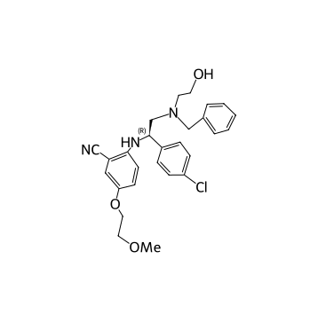 COCCOc1ccc(N[C@@H](CN(CCO)Cc2ccccc2)c2ccc(Cl)cc2)c(C#N)c1